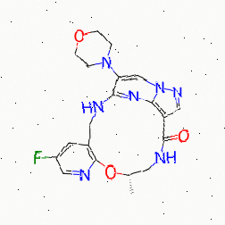 C[C@H]1CNC(=O)c2cnn3cc(N4CCOCC4)c(nc23)NCc2cc(F)cnc2O1